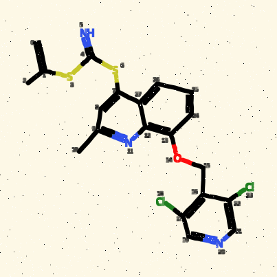 C=C(C)SC(=N)Sc1cc(C)nc2c(OCc3c(Cl)cncc3Cl)cccc12